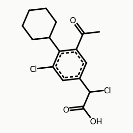 CC(=O)c1cc(C(Cl)C(=O)O)cc(Cl)c1C1CCCCC1